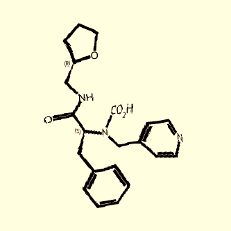 O=C(NC[C@H]1CCCO1)[C@H](Cc1ccccc1)N(Cc1ccncc1)C(=O)O